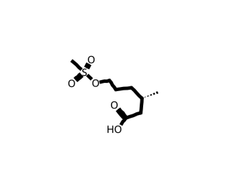 C[C@@H](CCCOS(C)(=O)=O)CC(=O)O